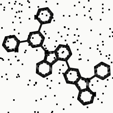 c1ccc(-n2c3cc(-c4cccc5c4c4ccccc4n5-c4cc(-c5ccccn5)cc(-c5ccccn5)c4)ccc3c3cccnc32)cc1